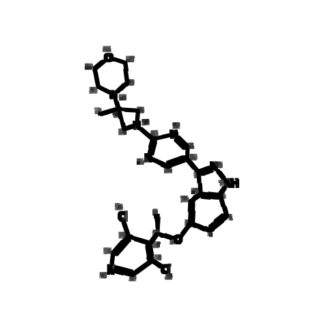 C[C@@H](Oc1ccc2[nH]nc(-c3cnc(N4CC(C)(N5CCOCC5)C4)nc3)c2c1)c1c(Cl)cncc1Cl